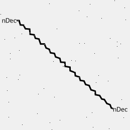 CCCCCCCCCCCCCCCCCCCCCCCCCCCC[CH]CCCCCCCCCCCCCCCCCCCCCCCCCCCCC